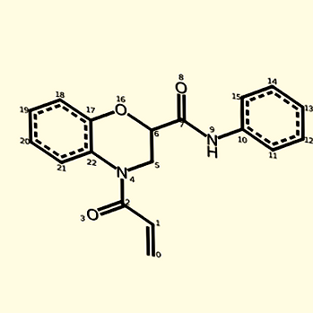 C=CC(=O)N1CC(C(=O)Nc2ccccc2)Oc2ccccc21